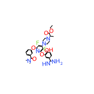 CCOC(=O)C(C)N1CCN(c2c(F)c(Oc3cccc(C(=O)N(C)C)c3)nc(Oc3cc(C(=N)N)ccc3O)c2F)CC1